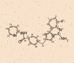 Nc1nc2c(F)cccc2c2nc(Cc3ccc(C(=O)Nc4ccccn4)cc3)cn12